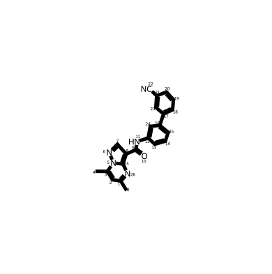 Cc1cc(C)n2ncc(C(=O)Nc3cccc(-c4cccc(C#N)c4)c3)c2n1